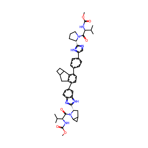 COC(=O)N[C@H](C(=O)N1CCC[C@H]1c1ncc(-c2ccc(-c3ccc(-c4ccc5nc([C@@H]6CC7CC7N6C(=O)[C@@H](NC(=O)OC)C(C)C)[nH]c5c4)c4c3C3CCC3C4)cc2)[nH]1)C(C)C